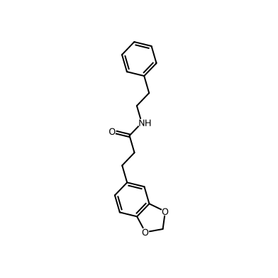 O=C(CCc1ccc2c(c1)OCO2)NCCc1ccccc1